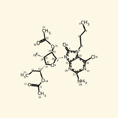 CCCCn1c(=O)n([C@@H]2O[C@H](C(CC)OC(C)=O)[C@H](F)[C@H]2OC(C)=O)c2nc(N)nc(Cl)c21